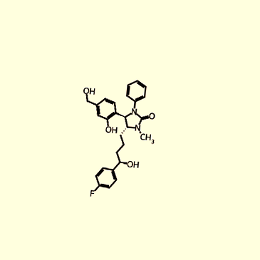 CN1C(=O)N(c2ccccc2)[C@H](c2ccc(CO)cc2O)[C@H]1CCC[C@@H](O)c1ccc(F)cc1